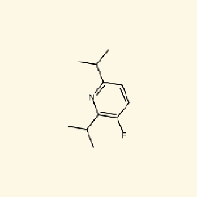 CC(C)c1ccc(F)c(C(C)C)n1